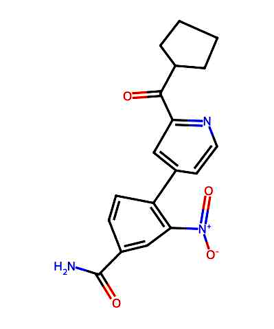 NC(=O)c1ccc(-c2ccnc(C(=O)C3CCCC3)c2)c([N+](=O)[O-])c1